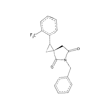 O=C1C[C@]2(CC2c2ccccc2C(F)(F)F)C(=O)N1Cc1ccccc1